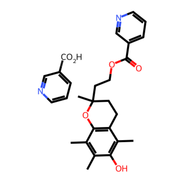 Cc1c(C)c2c(c(C)c1O)CCC(C)(CCOC(=O)c1cccnc1)O2.O=C(O)c1cccnc1